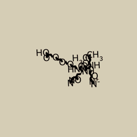 CN(C)CC(=O)N[C@@H](CCC(=O)C=[N+]=[N-])C(=O)N[C@@H](CCC(=O)C=[N+]=[N-])C(=O)NCCOCCOCCOCCC(=O)O